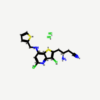 Cl.Cl.N#CC[C@H](N)Cc1sc2c(NCc3cccs3)cc(Cl)nc2c1Cl